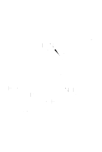 CC(C)C[C@H](N)[C@H](N)CP(=O)(O)O